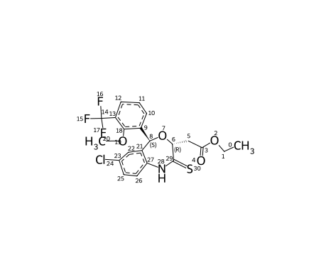 CCOC(=O)C[C@H]1O[C@H](c2cccc(C(F)(F)F)c2OC)c2cc(Cl)ccc2NC1=S